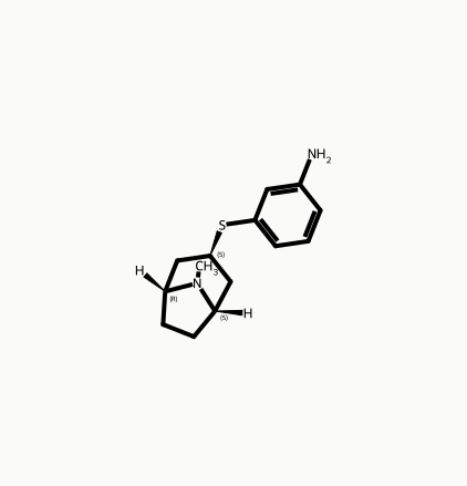 CN1[C@@H]2CC[C@H]1C[C@H](Sc1cccc(N)c1)C2